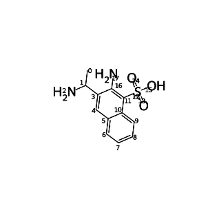 CC(N)c1cc2ccccc2c(S(=O)(=O)O)c1N